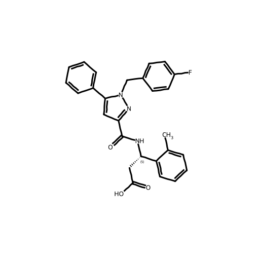 Cc1ccccc1[C@H](CC(=O)O)NC(=O)c1cc(-c2ccccc2)n(Cc2ccc(F)cc2)n1